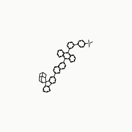 C[Si](C)(C)c1ccc(-c2cccc(-c3c4ccccc4c(-c4ccc5cc(-c6ccc7c(c6)C6(c8ccccc8-7)C7CC8CC(C7)CC6C8)ccc5c4)c4ccccc34)c2)cc1